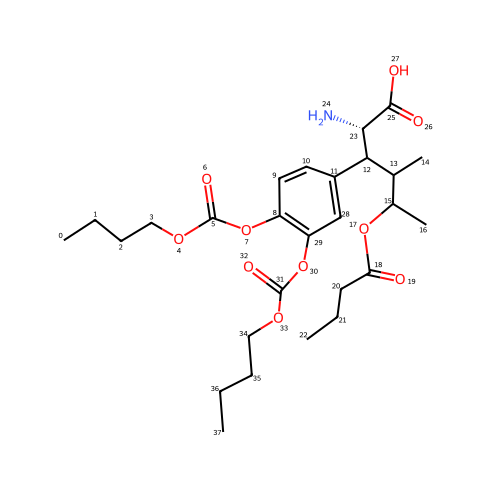 CCCCOC(=O)Oc1ccc(C(C(C)C(C)OC(=O)CCC)[C@H](N)C(=O)O)cc1OC(=O)OCCCC